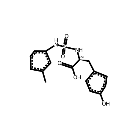 Cc1cccc(NS(=O)(=O)N[C@@H](Cc2ccc(O)cc2)C(=O)O)c1